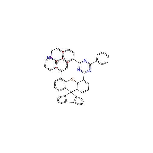 C1=CC2C(Sc3c(-c4ccc5c(c4)NCC=C5)cccc3C23c2ccccc2-c2ccccc23)C(c2nc(-c3ccccc3)nc(-c3cccc(-c4ccccc4)c3)n2)=C1